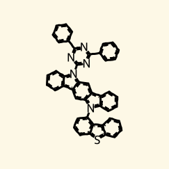 c1ccc(-c2nc(-c3ccccc3)nc(-n3c4ccccc4c4cc5c(cc43)c3ccccc3n5-c3cccc4sc5ccccc5c34)n2)cc1